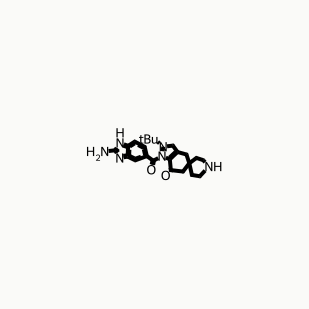 CC(C)(C)N1CC2=C(C(=O)CC3(CCNCC3)C2)N1C(=O)c1ccc2[nH]c(N)nc2c1